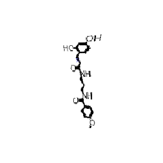 COc1ccc(C(=O)NCCCNC(=O)/C=C/c2ccc(O)cc2O)cc1